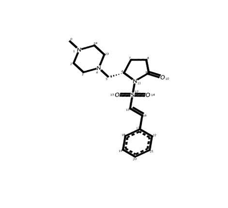 CN1CCN(C[C@@H]2CCC(=O)N2S(=O)(=O)C=Cc2ccccc2)CC1